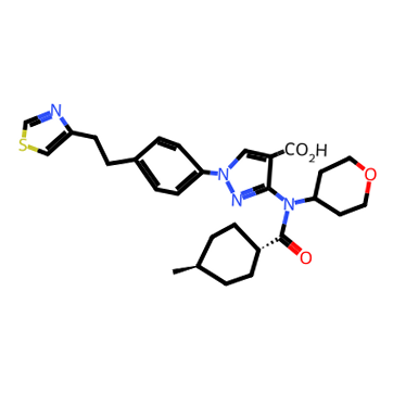 C[C@H]1CC[C@H](C(=O)N(c2nn(-c3ccc(CCc4cscn4)cc3)cc2C(=O)O)C2CCOCC2)CC1